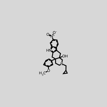 COc1cccc(C23CCN(CC4CC4)CC2(O)Cc2c([nH]c4cc([N+](=O)[O-])ccc24)C3)c1